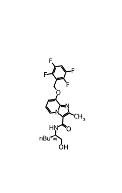 CCCC[C@H](CO)NC(=O)c1c(C)nc2c(OCc3c(F)c(F)cc(F)c3F)cccn12